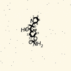 CC(C)(c1ccccn1)C(O)c1ccc(OC(N)=O)cn1